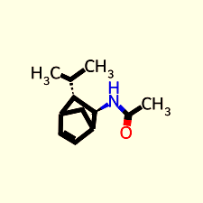 CC(=O)N[C@H]1C2C=CC(C2)[C@@H]1C(C)C